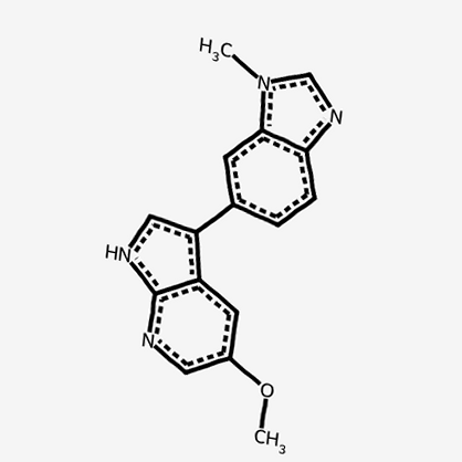 COc1cnc2[nH]cc(-c3ccc4ncn(C)c4c3)c2c1